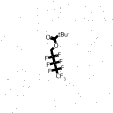 CC(C)(C)C(=O)OCC(F)(F)C(F)(F)C(F)(F)C(F)(F)F